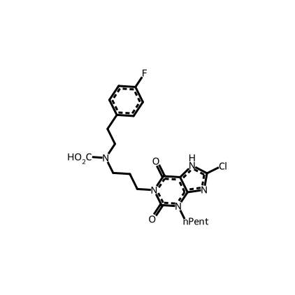 CCCCCn1c(=O)n(CCCN(CCc2ccc(F)cc2)C(=O)O)c(=O)c2[nH]c(Cl)nc21